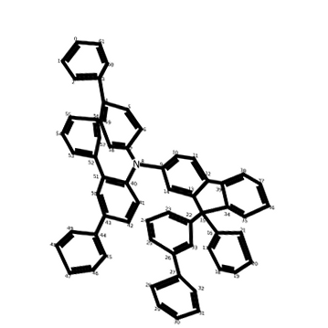 c1ccc(-c2ccc(N(c3ccc4c(c3)C(c3ccccc3)(c3cccc(-c5ccccc5)c3)c3ccccc3-4)c3ccc(-c4ccccc4)cc3-c3ccccc3)cc2)cc1